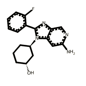 Nc1cc2c(cn1)nc(-c1ccccc1F)n2[C@@H]1CCC[C@@H](O)C1